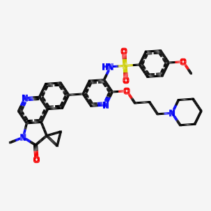 COc1ccc(S(=O)(=O)Nc2cc(-c3ccc4ncc5c(c4c3)C3(CC3)C(=O)N5C)cnc2OCCCN2CCCCC2)cc1